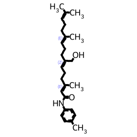 CC(C)=CCC/C(C)=C/CC/C(=C/CC/C(C)=C/C(=O)Nc1ccc(C)cc1)CO